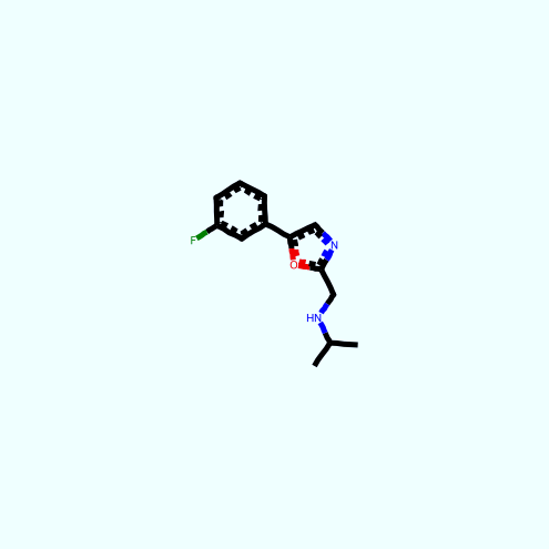 CC(C)NCc1ncc(-c2cccc(F)c2)o1